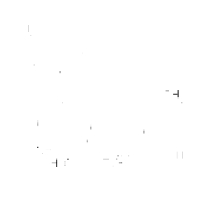 C=C(C)C(C)C/C(=C/C)c1c(N)ccc(CC)c1C